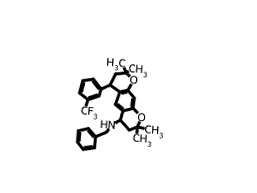 CC1(C)CC(NCc2ccccc2)c2cc3c(cc2O1)OC(C)(C)CC3c1cccc(C(F)(F)F)c1